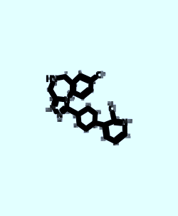 Clc1ccc2c(c1)CNCc1nnc(C3CCC(c4cccnc4Cl)CC3)n1-2